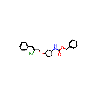 O=C(NC1CCC(OCC(Br)=Cc2ccccc2)C1)OCc1ccccc1